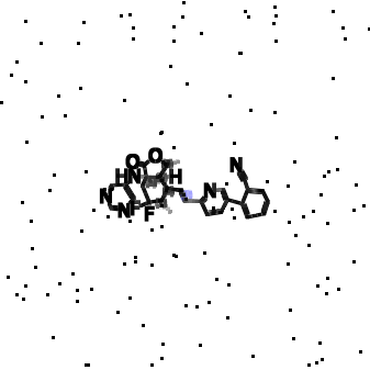 C[C@H]1OC(=O)[C@]2(Nc3cncnc3)CC(F)(F)[C@@H](C)[C@H](/C=C/c3ccc(-c4ccccc4C#N)cn3)[C@H]12